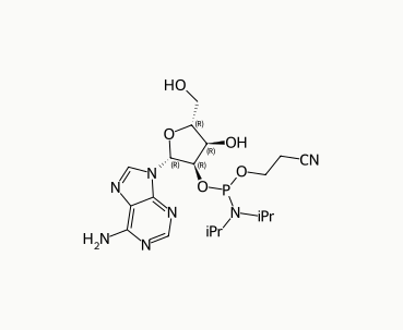 CC(C)N(C(C)C)P(OCCC#N)O[C@@H]1[C@H](O)[C@@H](CO)O[C@H]1n1cnc2c(N)ncnc21